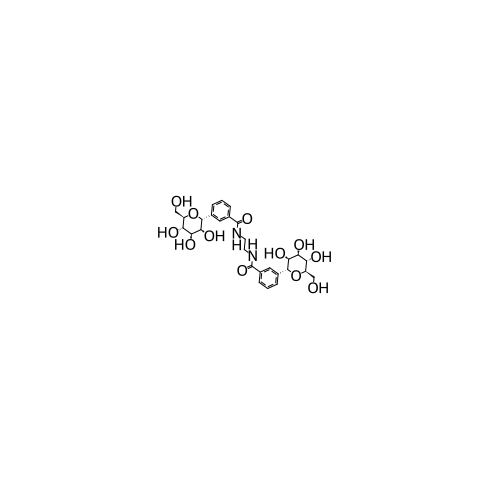 O=C(NCCNC(=O)c1cccc([C@H]2O[C@H](CO)[C@@H](O)[C@H](O)[C@@H]2O)c1)c1cccc([C@H]2O[C@H](CO)[C@@H](O)[C@H](O)[C@@H]2O)c1